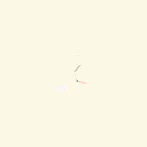 CC/C=C/C(=O)B(C)N